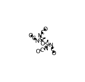 C[Si](N=C=O)(N=C=O)O[Si](C)(N=C=O)N=C=O